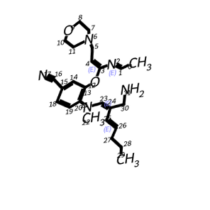 C/C=N/C(=C\CN1CCOCC1)Oc1cc(C#N)ccc1N(C)/C=C(\C=C\CCC)CN